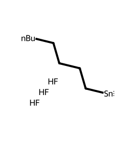 CCCCCCC[CH2][Sn].F.F.F